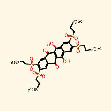 CCCCCCCCCCCCS(=O)(=O)c1cc2c(cc1S(=O)(=O)CCCCCCCCCCCC)C(=O)c1c(c(O)c3cc(S(=O)(=O)CCCCCCCCCCCC)c(S(=O)(=O)CCCCCCCCCCCC)cc3c1O)C2=O